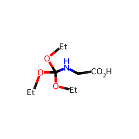 CCOC(NCC(=O)O)(OCC)OCC